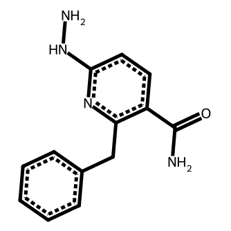 NNc1ccc(C(N)=O)c(Cc2ccccc2)n1